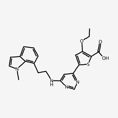 CCOc1cc(-c2cc(NCCc3cccc4ccn(C)c34)ncn2)sc1C(=O)O